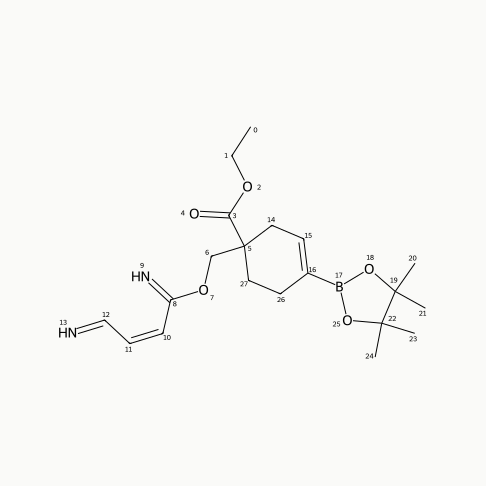 CCOC(=O)C1(COC(=N)/C=C\C=N)CC=C(B2OC(C)(C)C(C)(C)O2)CC1